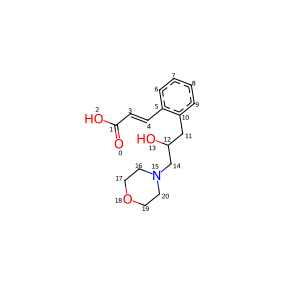 O=C(O)/C=C/c1ccccc1CC(O)CN1CCOCC1